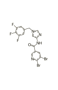 O=C(Nc1cn(Cc2cc(F)c(F)c(F)c2)cn1)c1cnc(Br)c(Br)c1